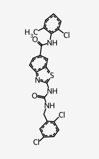 Cc1cccc(Cl)c1NC(=O)c1ccc2nc(NC(=O)NCc3cc(Cl)ccc3Cl)sc2c1